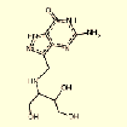 Nc1nc2c(CNC(CO)C(O)CO)n[nH]c2c(=O)[nH]1